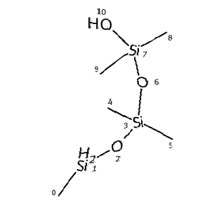 C[SiH2]O[Si](C)(C)O[Si](C)(C)O